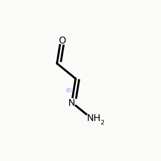 N/N=C/C=O